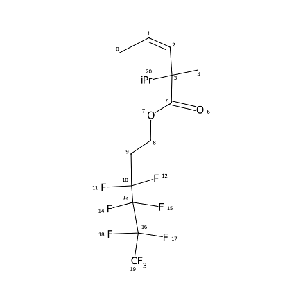 C/C=C\C(C)(C(=O)OCCC(F)(F)C(F)(F)C(F)(F)C(F)(F)F)C(C)C